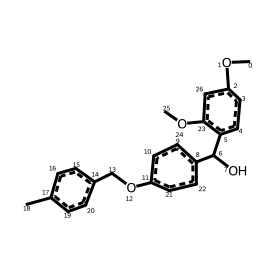 COc1ccc(C(O)c2ccc(OCc3ccc(C)cc3)cc2)c(OC)c1